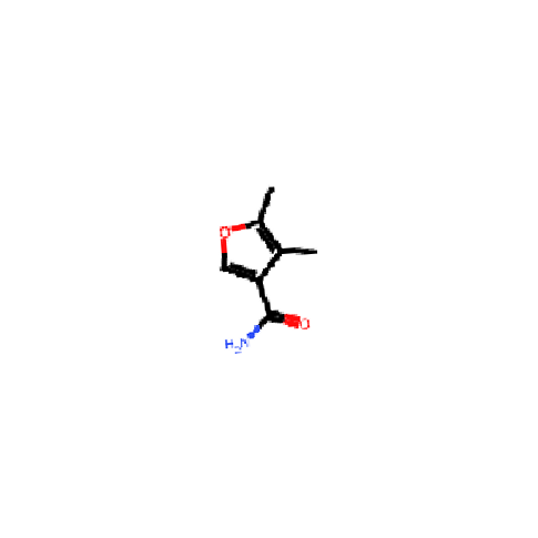 Cc1o[c]c(C(N)=O)c1C